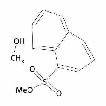 CO.COS(=O)(=O)c1cccc2ccccc12